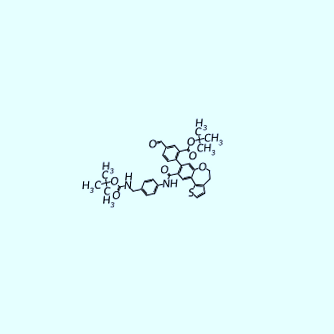 CC(C)(C)OC(=O)NCc1ccc(NC(=O)c2cc3c(cc2-c2ccc(C=O)cc2C(=O)OC(C)(C)C)OCCc2ccsc2-3)cc1